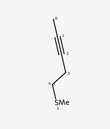 CC#CC[CH]SC